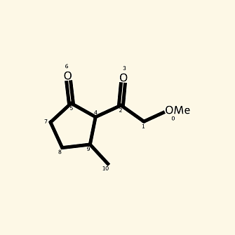 COCC(=O)C1C(=O)CCC1C